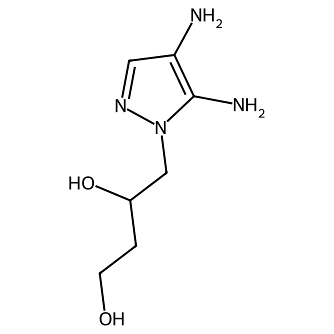 Nc1cnn(CC(O)CCO)c1N